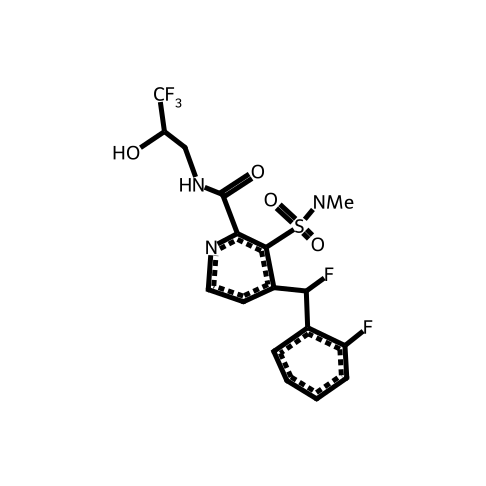 CNS(=O)(=O)c1c(C(F)c2ccccc2F)ccnc1C(=O)NCC(O)C(F)(F)F